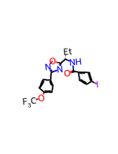 CC[C@H](NC(=O)c1ccc(I)cc1)c1nc(-c2ccc(OC(F)(F)F)cc2)no1